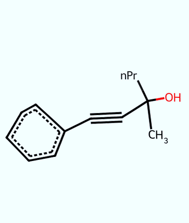 CCCC(C)(O)C#Cc1ccccc1